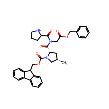 C[C@H]1C[C@@H](C(=O)N(CC(=O)OCc2ccccc2)C(=O)C2CCCN2)N(C(=O)OCC2c3ccccc3-c3ccccc32)C1